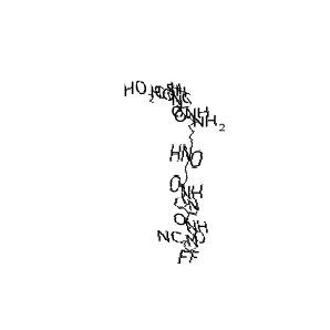 N#C[C@H]1CC(F)(F)CN1C(=O)CNC(=O)c1ccnc2c(NC(=O)CCC(=O)NCCCC[C@H](N)C(=O)N[C@@H](CC(=O)O)C(=O)NC[C@@H](S)C(=O)O)cccc12